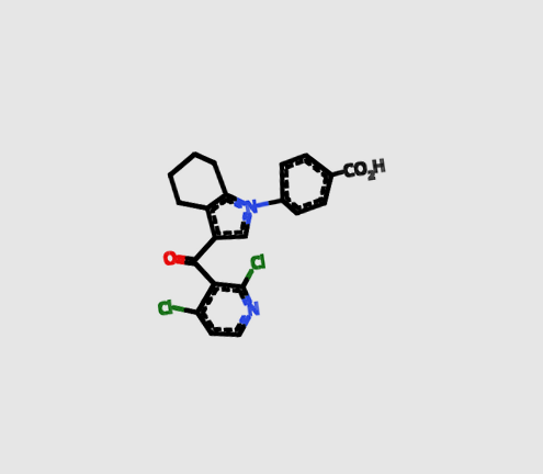 O=C(O)c1ccc(-n2cc(C(=O)c3c(Cl)ccnc3Cl)c3c2CCCC3)cc1